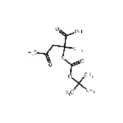 CC(=O)CC(C)(NC(=O)OC(C)(C)C)C(=O)O